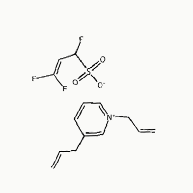 C=CCc1ccc[n+](CC=C)c1.O=S(=O)([O-])C(F)C=C(F)F